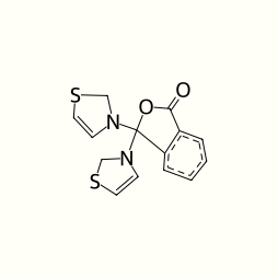 O=C1OC(N2C=CSC2)(N2C=CSC2)c2ccccc21